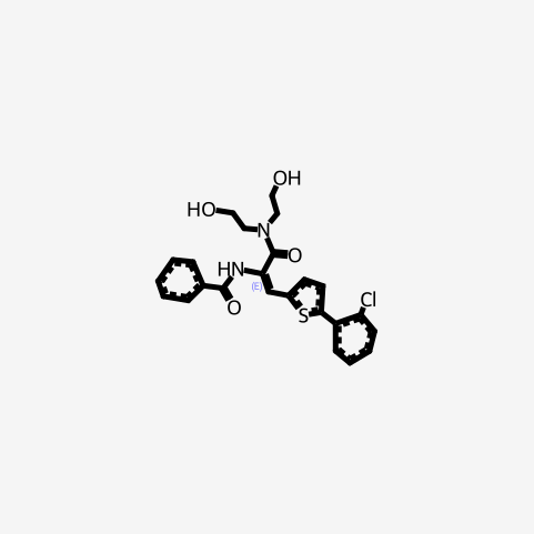 O=C(N/C(=C/c1ccc(-c2ccccc2Cl)s1)C(=O)N(CCO)CCO)c1ccccc1